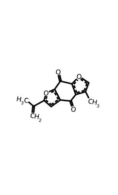 C=C(C)c1cc2c(o1)C(=O)c1occ(C)c1C2=O